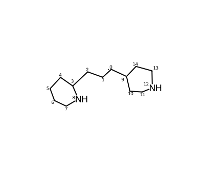 [CH](CCC1CCCCN1)C1CCNCC1